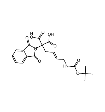 CC(C)(C)OC(=O)NC/C=C/CC(C(=O)O)(C(=O)O)N1C(=O)c2ccccc2C1=O